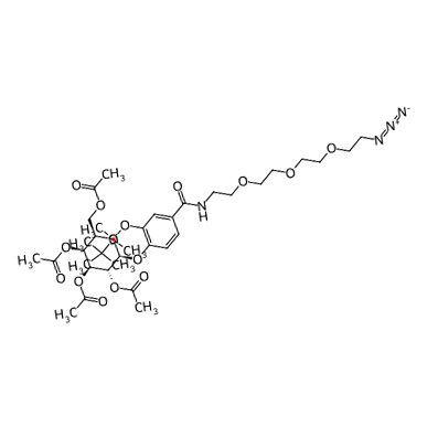 CC(=O)OC[C@H]1O[C@@H](Oc2ccc(C(=O)NCCOCCOCCOCCN=[N+]=[N-])cc2O[Si](C)(C)C(C)(C)C)[C@H](OC(C)=O)[C@@H](OC(C)=O)[C@H]1OC(C)=O